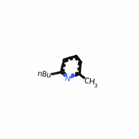 [CH2]CCCc1cccc(C)n1